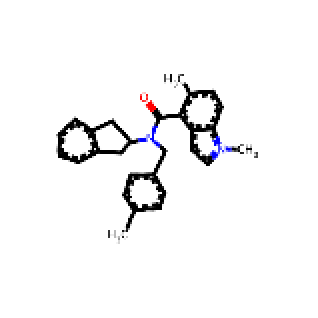 Cc1ccc(CN(C(=O)c2c(C)ccc3c2ccn3C)C2Cc3ccccc3C2)cc1